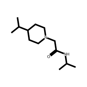 CC(C)NC(=O)CN1CCC(C(C)C)CC1